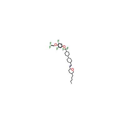 CCCCCC1CCC(/C=C/C2CCC(C3CCC(C(F)(F)Oc4cc(F)c(OC=C(F)F)c(F)c4)CC3)CC2)OC1